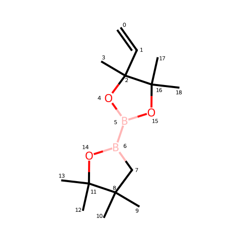 C=CC1(C)OB(B2CC(C)(C)C(C)(C)O2)OC1(C)C